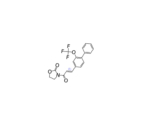 O=C(/C=C/c1ccc(-c2ccccc2)c(OC(F)(F)F)c1)N1CCOC1=O